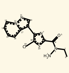 CCN(N)C(=O)c1nc(-c2cnn3ccccc23)c(Cl)s1